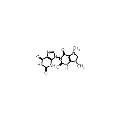 CN1CN(C)c2c1[nH]c(=O)n(-n1cnc3c(=O)[nH]c(=O)[nH]c31)c2=O